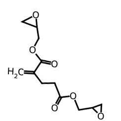 C=C(CCC(=O)OCC1CO1)C(=O)OCC1CO1